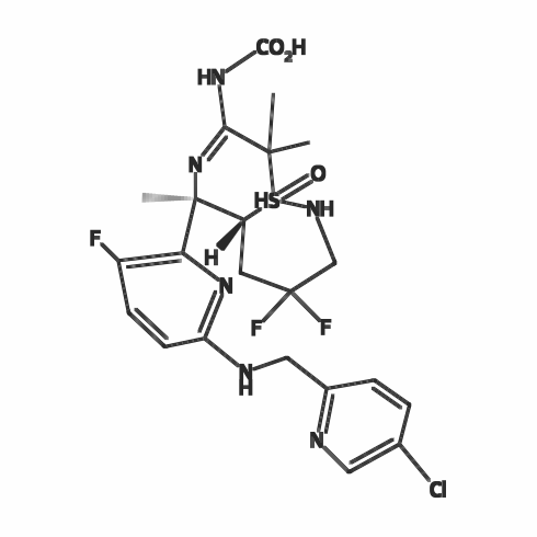 CC1(C)C(NC(=O)O)=N[C@](C)(c2nc(NCc3ccc(Cl)cn3)ccc2F)[C@H]2CC(F)(F)CN[SH]21=O